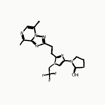 Cc1ncc(C)n2nc(CCc3nc(N4CCCC4O)cn3CC(F)(F)F)nc12